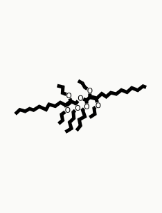 CCCCCCCCCCC(OCCC)=C(OCCC)C(OCCCCC)OC(OCCCCC)C(OCCC)=C(CCCCCCCCCC)OCCC